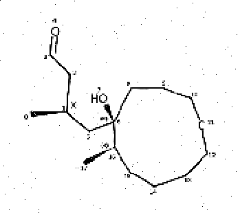 C[C@@H](CC=O)C[C@]1(O)CCCCCCCC[C@H]1C